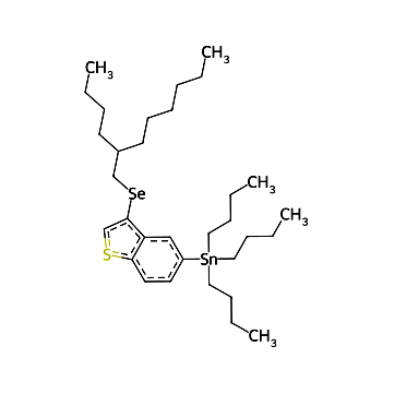 CCCCCCC(CCCC)C[Se]c1csc2cc[c]([Sn]([CH2]CCC)([CH2]CCC)[CH2]CCC)cc12